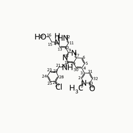 Cn1cc(-c2ccc3nc(/C(C=N)=C/NCCO)nc(NCc4cccc(Cl)c4)c3c2)ccc1=O